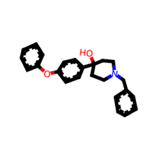 OC1(c2ccc(Oc3ccccc3)cc2)CCN(Cc2ccccc2)CC1